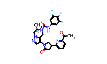 CC(=O)c1cccc(C2CC(=O)N(c3cnn4c3CN(C(=O)Nc3cc(F)c(F)c(F)c3)[C@@H](C)C4)C2)n1